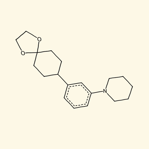 c1cc(C2CCC3(CC2)OCCO3)cc(N2CCCCC2)c1